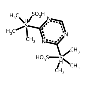 C[SH](C)(C)(c1ncnc([SH](C)(C)(C)S(=O)(=O)O)n1)S(=O)(=O)O